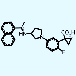 C[C@@H](NC1CCN(c2ccc(F)c(C3(C(=O)O)CC3)c2)C1)c1cccc2ccccc12